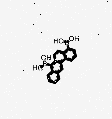 OB(O)c1cccc2c1ccc1c(B(O)O)c3ccccc3cc12